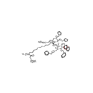 CCCCCCCCCCCCCC[C@@H](OCc1ccccc1)[C@@H](OCc1ccccc1)[C@H](CO[C@H]1O[C@H](COCc2ccccc2)[C@H](OCc2ccccc2)[C@H](OCc2ccccc2)[C@H]1OCc1ccccc1)NC(=O)CCCCCCCCCCCN(C)C(=O)CCCCCCCCCCCC